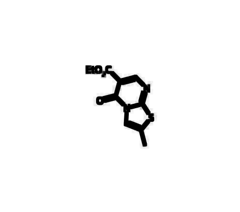 CCOC(=O)c1cnc2sc(C)cn2c1=O